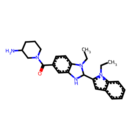 CCN1c2ccc(C(=O)N3CCCC(N)C3)cc2NC1c1cc2ccccc2n1CC